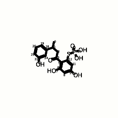 CC(CC(=O)c1c(O)cc(O)cc1SP(=O)(O)O)c1cccc(O)c1